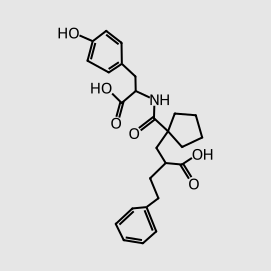 O=C(O)C(CCc1ccccc1)CC1(C(=O)NC(Cc2ccc(O)cc2)C(=O)O)CCCC1